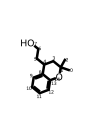 CC1(C)CC(CCO)c2ccccc2O1